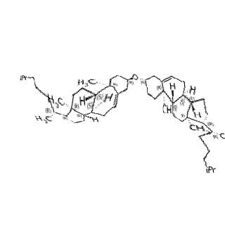 CC(C)CCC[C@@H](C)[C@H]1CC[C@H]2[C@@H]3CC=C4C[C@H](O[C@H]5CC[C@@]6(C)C(=CC[C@H]7[C@@H]8CC[C@H]([C@H](C)CCCC(C)C)[C@@]8(C)CC[C@@H]76)C5)CC[C@]4(C)[C@H]3CC[C@]12C